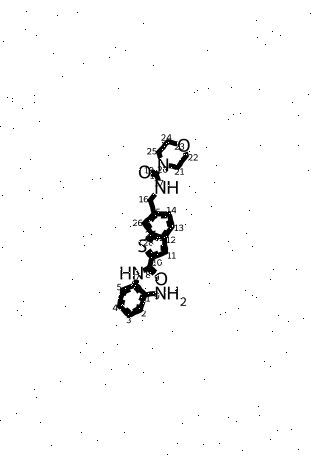 Nc1ccccc1NC(=O)c1cc2ccc(CNC(=O)N3CCOCC3)cc2s1